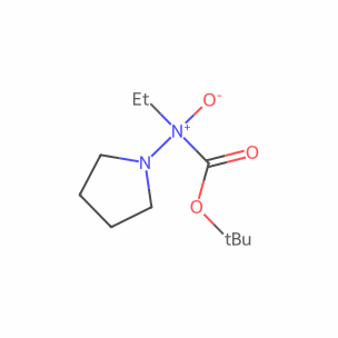 CC[N+]([O-])(C(=O)OC(C)(C)C)N1CCCC1